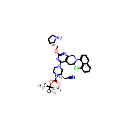 CC(C)(C)OC(=O)N1CCN(c2nc(OC[C@@H]3CCCN3)nc3c2CCN(c2cccc4cccc(Cl)c24)C3)C[C@@H]1CC#N